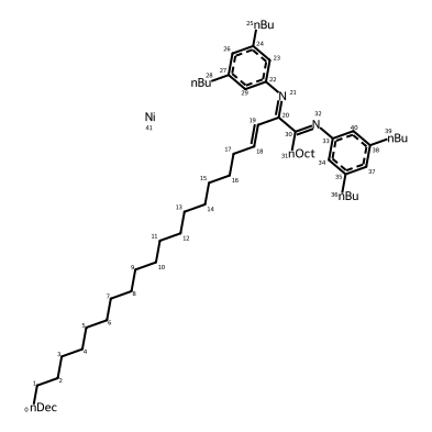 CCCCCCCCCCCCCCCCCCCCCCCCCCC/C=C/C(=N\c1cc(CCCC)cc(CCCC)c1)C(/CCCCCCCC)=N/c1cc(CCCC)cc(CCCC)c1.[Ni]